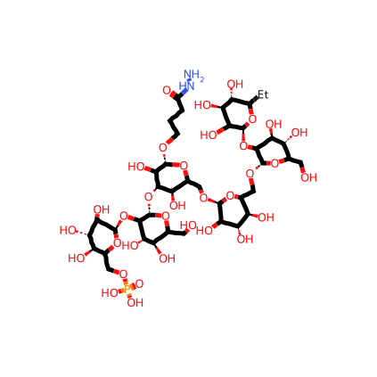 CCC1O[C@@H](OC2[C@@H](OCC3O[C@H](OCC4O[C@@H](OCCCC(=O)NN)C(O)[C@@H](O[C@@H]5OC(CO)[C@@H](O)[C@H](O)C5O[C@H]5OC(COP(=O)(O)O)[C@@H](O)[C@H](O)C5O)[C@@H]4O)C(O)[C@@H](O)[C@@H]3O)OC(CO)[C@@H](O)[C@@H]2O)C(O)[C@@H](O)[C@@H]1O